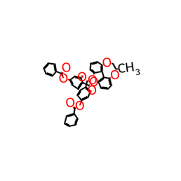 C[C@@H]1COc2cccc(OC(=O)c3ccc(OC(=O)c4ccccc4)cc3)c2-c2c(OC(=O)c3ccc(OC(=O)c4ccccc4)cc3)cccc2O1